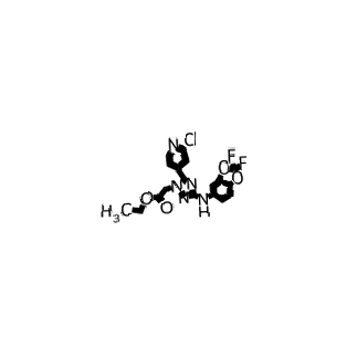 CCOC(=O)Cn1nc(Nc2ccc3c(c2)OC(F)(F)O3)nc1-c1ccnc(Cl)c1